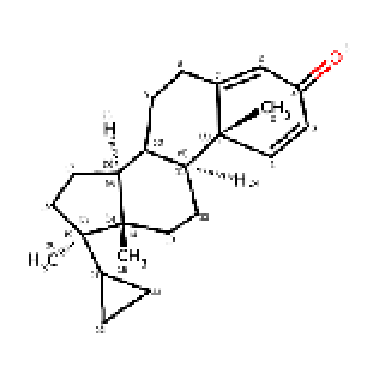 C[C@]12C=CC(=O)C=C1CCC1[C@@H]2CC[C@@]2(C)[C@H]1CC[C@]2(C)C1CC1